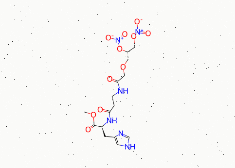 COC(=O)[C@H](Cc1c[nH]cn1)NC(=O)CCNC(=O)COC[C@@H](CO[N+](=O)[O-])O[N+](=O)[O-]